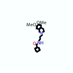 COc1cc2c(cc1OC)CN(CCCCNC(=O)c1ccccc1)CC2